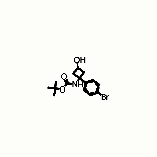 CC(C)(C)OC(=O)N[C@]1(c2ccc(Br)cc2)C[C@H](O)C1